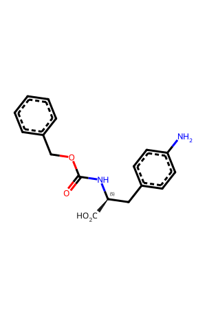 Nc1ccc(C[C@H](NC(=O)OCc2ccccc2)C(=O)O)cc1